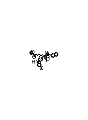 COc1ccc2[nH]c(C)c(CC(=O)N[C@@H](CCCCCC(=O)c3ccco3)c3ncc(-c4ccc5ccccc5c4)[nH]3)c2c1